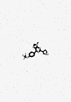 Cn1cnc2c(-c3ccc(OC(F)(F)F)cc3)nc(C3CCNC3)nc21